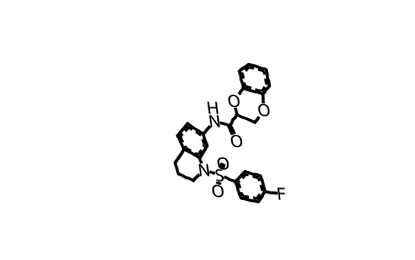 O=C(Nc1ccc2c(c1)N(S(=O)(=O)c1ccc(F)cc1)CCC2)C1COc2ccccc2O1